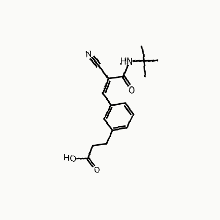 CC(C)(C)NC(=O)C(C#N)=Cc1cccc(CCC(=O)O)c1